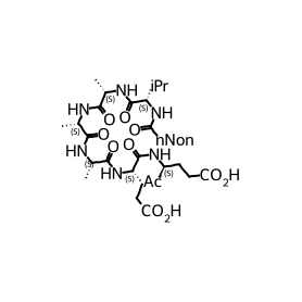 CCCCCCCCCC(=O)N[C@H](C(=O)N[C@@H](C)C(=O)N[C@@H](C)C(=O)N[C@@H](C)C(=O)N[C@@H](CCC(=O)O)C(=O)N[C@@H](CCC(=O)O)C(C)=O)C(C)C